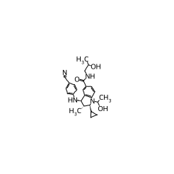 CC(O)CNC(=O)c1ccc2c(c1)[C@H](Nc1ccc(C#N)cc1)[C@@H](C)[C@H](C1CC1)N2C(C)O